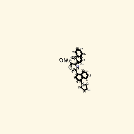 COC(=O)/C(=N\N(C)c1ccc(N2CCCC2)c2ccccc12)c1ccc2ccccc2[n+]1C